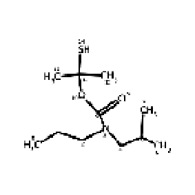 CCCN(CC(C)C)C(=O)OC(C)(C)S